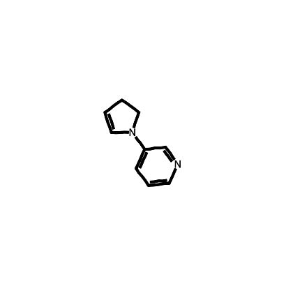 C1=CN(c2cccnc2)CC1